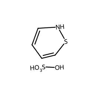 C1=CNSC=C1.O=S(=O)(O)O